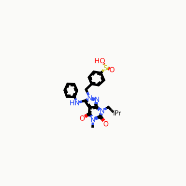 CC(C)Cn1c(=O)n(C)c(=O)c2c(Nc3ccccc3)n(Cc3ccc(S(=O)O)cc3)nc21